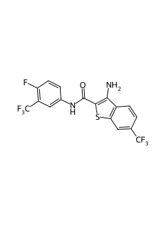 Nc1c(C(=O)Nc2ccc(F)c(C(F)(F)F)c2)sc2cc(C(F)(F)F)ccc12